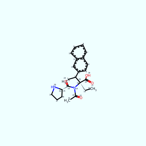 CCC(c1ccc2ccccc2c1)[C@@](CC)(C(=O)O)N(C(C)=O)C(=O)[C@@H]1CCCN1